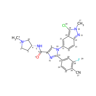 CN1CC[C@@H](NC(=O)c2cn(-c3ccc4nn(C)c(Cl)c4c3)c(-c3ccc(C#N)c(F)c3)n2)C1